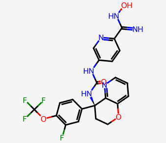 N=C(NO)c1ccc(NC(=O)N[C@]2(c3ccc(OC(F)(F)F)c(F)c3)CCOc3cccnc32)cn1